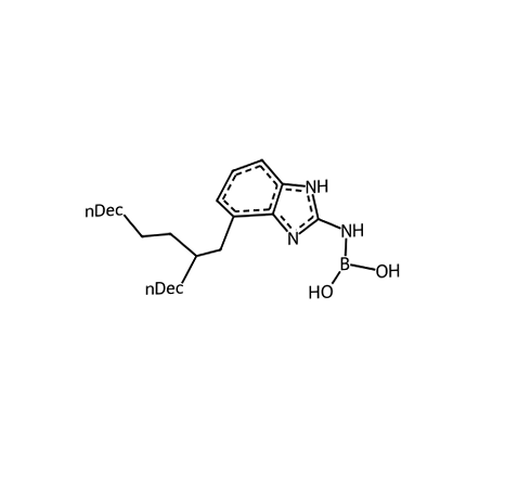 CCCCCCCCCCCCC(CCCCCCCCCC)Cc1cccc2[nH]c(NB(O)O)nc12